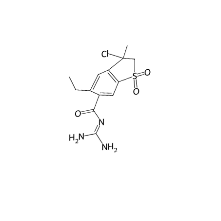 CCc1cc2c(cc1C(=O)N=C(N)N)S(=O)(=O)CC2(C)Cl